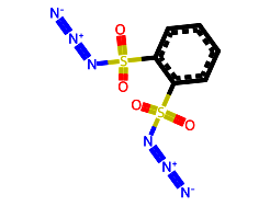 [N-]=[N+]=NS(=O)(=O)c1ccccc1S(=O)(=O)N=[N+]=[N-]